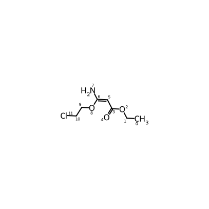 CCOC(=O)C=C(N)OCCCl